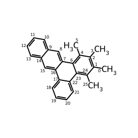 Cc1c(C)c(C)c2c3cc4ccccc4cc3c3ccccc3c2c1C